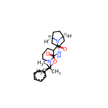 CC(C)(C)OC(=O)N[C@@H]1C[C@H]2CC[C@@H](C1)N2C(=O)C1CCCN(Cc2ccccc2)C1